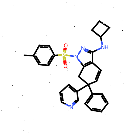 Cc1ccc(S(=O)(=O)n2nc(NC3CCC3)c3c2CC(c2ccccc2)(c2cccnc2)C=C3)cc1